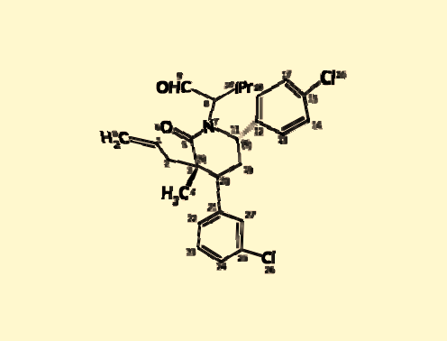 C=CC[C@]1(C)C(=O)N(C(C=O)C(C)C)[C@H](c2ccc(Cl)cc2)CC1c1cccc(Cl)c1